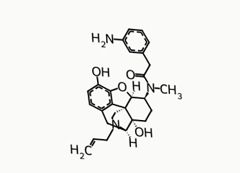 C=CCN1CC[C@]23c4c5ccc(O)c4O[C@H]2[C@@H](N(C)C(=O)Cc2cccc(N)c2)CC[C@@]3(O)[C@H]1C5